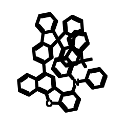 CC1(C)c2ccccc2-c2cccc(N(c3ccccc3)c3cccc4oc5c6ccccc6c(-c6ccc7c(c6)C6(c8ccccc8-c8ccccc86)c6ccccc6-7)cc5c34)c21